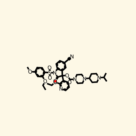 CCOc1cc(OC)ccc1S(=O)(=O)N1C(=O)C(OC(=O)N2CCN(C3CCN(C(C)C)CC3)CC2)(c2cccnc2OCC)c2cc(C#N)ccc21